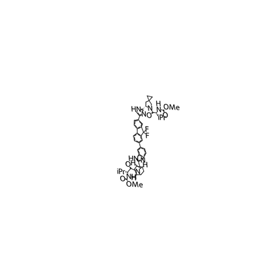 COC(=O)N[C@H](C(=O)N1CC2(CC2)C[C@H]1c1nc(-c2ccc3c(c2)C(F)(F)c2cc(-c4ccc5nc([C@@H]6[C@H]7CC[C@H](CC7)N6C(=O)[C@@H](NC(=O)OC)C(C)C)[nH]c5c4)ccc2-3)c[nH]1)C(C)C